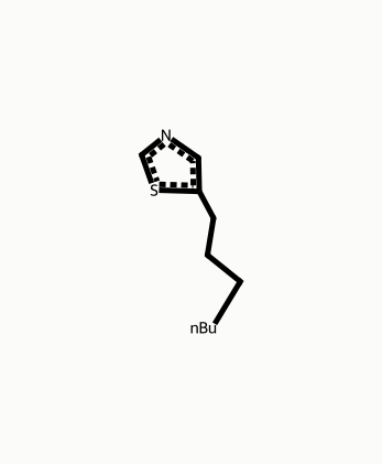 CCCCCCCc1cncs1